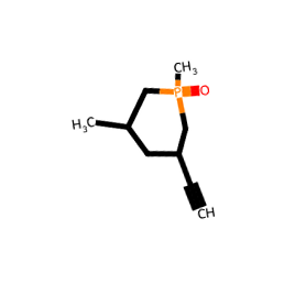 C#CC1CC(C)CP(C)(=O)C1